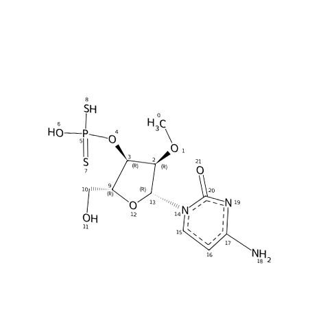 CO[C@@H]1[C@H](OP(O)(=S)S)[C@@H](CO)O[C@H]1n1ccc(N)nc1=O